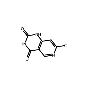 O=c1[nH]c(=O)c2cnc(Cl)cc2[nH]1